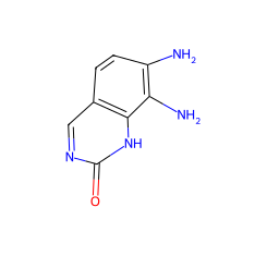 Nc1ccc2cnc(=O)[nH]c2c1N